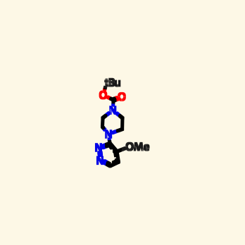 COc1ccnnc1N1CCN(C(=O)OC(C)(C)C)CC1